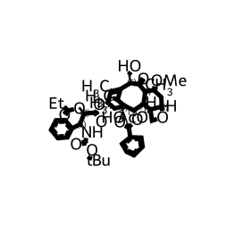 CCC(=O)O[C@@H](C(=O)O[C@H]1C[C@@]2(O)[C@@H](OC(=O)c3ccccc3)[C@@H]3[C@]4(OC(C)=O)CO[C@@H]4CC(OC)[C@@]3(C)C(=O)[C@H](CO)C(=C1C)C2(C)C)[C@@H](NC(=O)OC(C)(C)C)c1ccccc1